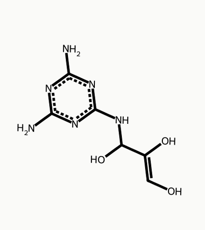 Nc1nc(N)nc(NC(O)C(O)=CO)n1